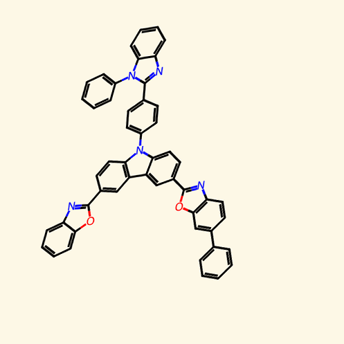 c1ccc(-c2ccc3nc(-c4ccc5c(c4)c4cc(-c6nc7ccccc7o6)ccc4n5-c4ccc(-c5nc6ccccc6n5-c5ccccc5)cc4)oc3c2)cc1